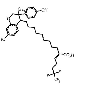 CC1(c2ccc(O)cc2)COc2cc(O)ccc2C1CCCCCCCCCC(=CCCC(F)(F)C(F)(F)F)C(=O)O